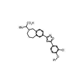 CC(C)Oc1ccc(-c2nc(-c3ccc4c(c3)CCCN(C(C(=O)O)C(C)(C)C)C4)no2)cc1Cl